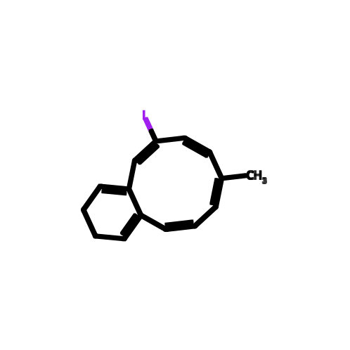 Cc1cccc2c(cc(I)cc1)=CCCC=2